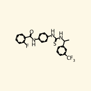 CC(NC(=S)Nc1ccc(NC(=O)c2ccccc2F)cc1)c1cccc(C(F)(F)F)c1